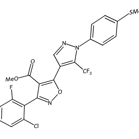 COC(=O)c1c(-c2c(F)cccc2Cl)noc1-c1cnn(-c2ccc(SC)cc2)c1C(F)(F)F